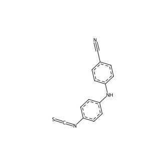 N#Cc1ccc(Nc2ccc(N=C=S)cc2)cc1